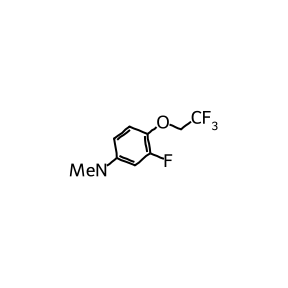 CNc1ccc(OCC(F)(F)F)c(F)c1